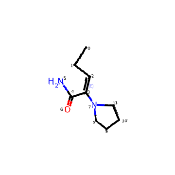 CC/C=C(\C(N)=O)N1CCCC1